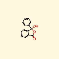 O=C1OC(O)(c2ccccc2)c2ccccc21